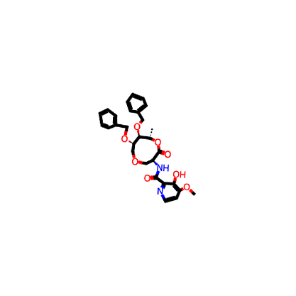 COc1ccnc(C(=O)N[C@H]2COC[C@H](OCc3ccccc3)[C@@H](OCc3ccccc3)[C@H](C)OC2=O)c1O